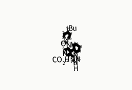 CC(C)(C)C1CCN(C(=O)Nc2cnc(C(=O)O)c(-c3nn[nH]n3)c2C2CCCCC2)CC1